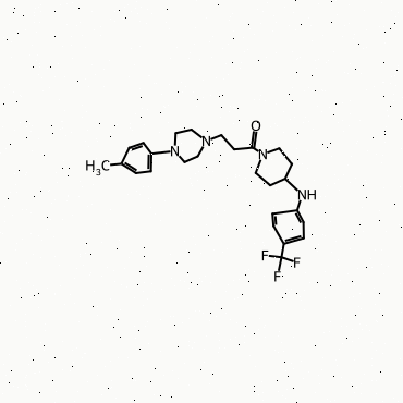 Cc1ccc(N2CCN(CCC(=O)N3CCC(Nc4ccc(C(F)(F)F)cc4)CC3)CC2)cc1